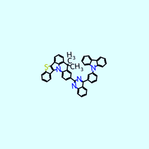 CC1(C)c2cc(-c3nc(-c4cccc(-n5c6ccccc6c6ccccc65)c4)c4ccccc4n3)ccc2-n2c3c1cccc3c1sc3ccccc3c12